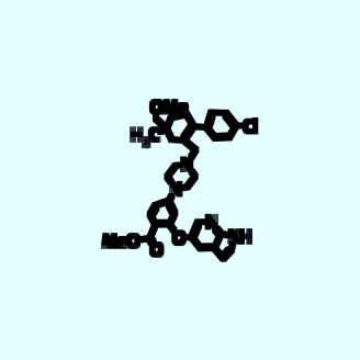 COCC1(C)CCC(c2ccc(Cl)cc2)=C(CN2CCN(c3ccc(C(=O)OC)c(Oc4cnc5[nH]ccc5c4)c3)CC2)C1